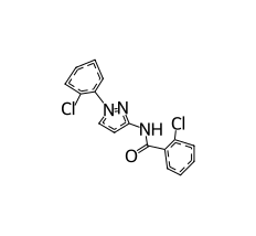 O=C(Nc1ccn(-c2ccccc2Cl)n1)c1ccccc1Cl